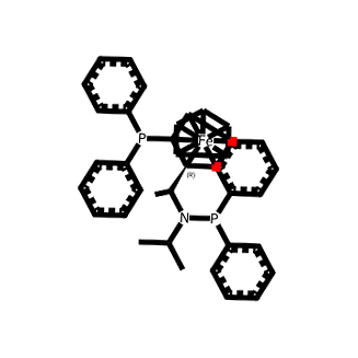 CC(C)N(C(C)[C@@]12[CH]3[CH]4[CH]5[C]1(P(c1ccccc1)c1ccccc1)[Fe]45321678[CH]2[CH]1[CH]6[CH]7[CH]28)P(c1ccccc1)c1ccccc1